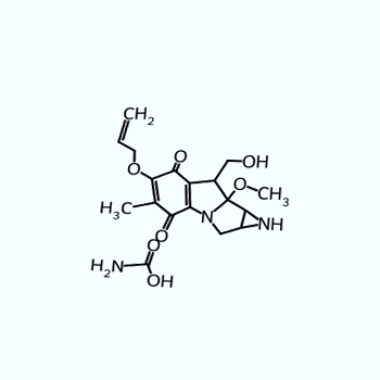 C=CCOC1=C(C)C(=O)C2=C(C1=O)C(CO)C1(OC)C3NC3CN21.NC(=O)O